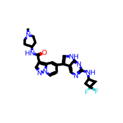 CN1CCC(NC(=O)c2cnn3ccc(-c4c[nH]c5nc(NC6CC(F)(F)C6)ncc45)cc23)CC1